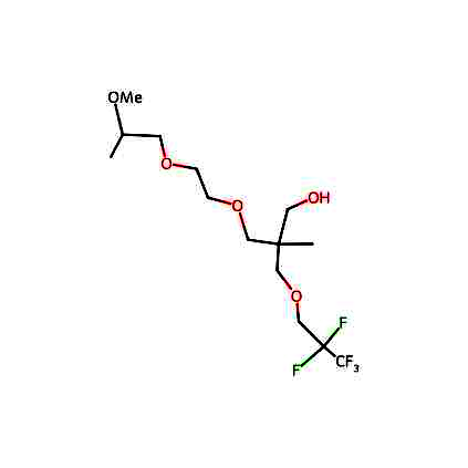 COC(C)COCCOCC(C)(CO)COCC(F)(F)C(F)(F)F